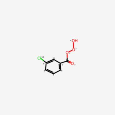 O=C(OOO)c1cccc(Cl)c1